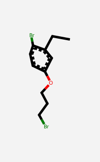 CCc1cc(OCCCBr)ccc1Br